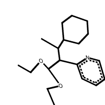 CCOC(OCC)C(c1ccccn1)C(C)C1CCCCC1